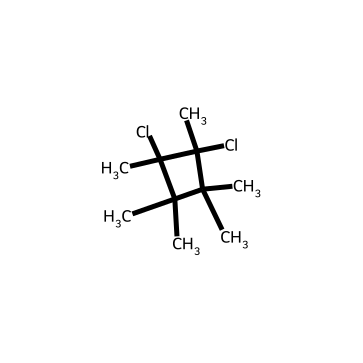 CC1(C)C(C)(C)C(C)(Cl)C1(C)Cl